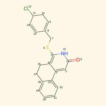 O=c1cc2c(c(SCC3=CCC(Cl)C=C3)[nH]1)CCc1ccccc1-2